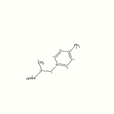 CCCCCCC(C)Cc1ccc(P)cc1